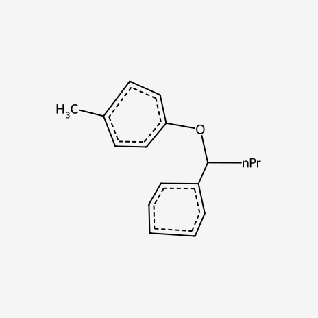 CCCC(Oc1ccc(C)cc1)c1ccccc1